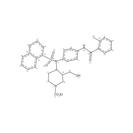 CCOC(=O)N1CCC(N(c2ccc(NC(=O)c3ccccc3C)cc2)S(=O)(=O)c2cccc3ccccc23)C(CO)C1